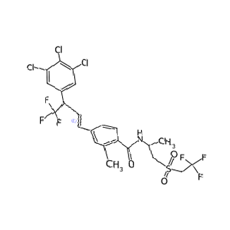 Cc1cc(/C=C/C(c2cc(Cl)c(Cl)c(Cl)c2)C(F)(F)F)ccc1C(=O)NC(C)CS(=O)(=O)CC(F)(F)F